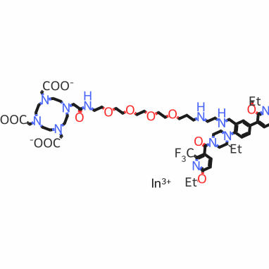 CCOc1ccc(C(=O)N2CCN(c3ccc(-c4cccnc4OCC)cc3CNCCNCCCOCCOCCOCCOCCNC(=O)CN3CCN(CC(=O)[O-])CCN(CC(=O)[O-])CCN(CC(=O)[O-])CC3)[C@H](CC)C2)c(C(F)(F)F)n1.[In+3]